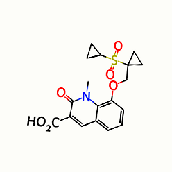 Cn1c(=O)c(C(=O)O)cc2cccc(OCC3(S(=O)(=O)C4CC4)CC3)c21